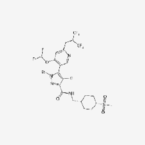 CCn1nc(C(=O)NC[C@H]2CC[C@@H](S(C)(=O)=O)CC2)c(Cl)c1-c1cnc(CC(C(F)(F)F)C(F)(F)F)cc1OC(F)F